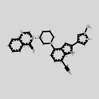 Cn1cc(-c2cc3c(N4CCC[C@@H](n5cnc6ccccc6c5=O)C4)ccc(C#N)c3[nH]2)cn1